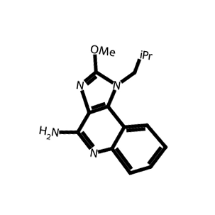 COc1nc2c(N)nc3ccccc3c2n1CC(C)C